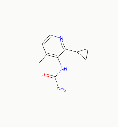 Cc1ccnc(C2CC2)c1NC(N)=O